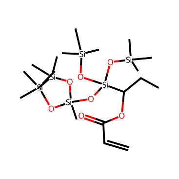 C=CC(=O)OC(CC)[Si](O[Si](C)(C)C)(O[Si](C)(C)C)O[Si](C)(O[Si](C)(C)C)O[Si](C)(C)C